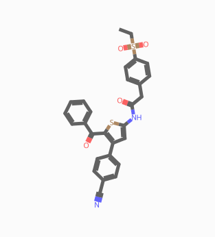 CCS(=O)(=O)c1ccc(CC(=O)Nc2cc(-c3ccc(C#N)cc3)c(C(=O)c3ccccc3)s2)cc1